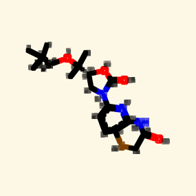 CC(C)(C)[SiH2]OC(C)(C)[C@H]1CN(c2ccc3c(n2)NC(=O)CS3)C(=O)O1